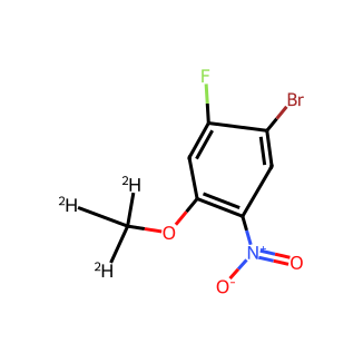 [2H]C([2H])([2H])Oc1cc(F)c(Br)cc1[N+](=O)[O-]